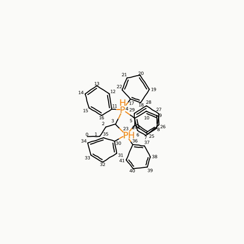 CCCC([PH](c1ccccc1)(c1ccccc1)c1ccccc1)[PH](c1ccccc1)(c1ccccc1)c1ccccc1